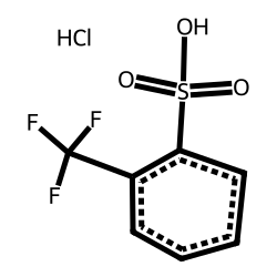 Cl.O=S(=O)(O)c1ccccc1C(F)(F)F